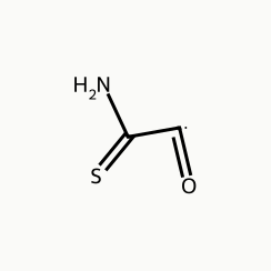 NC(=S)[C]=O